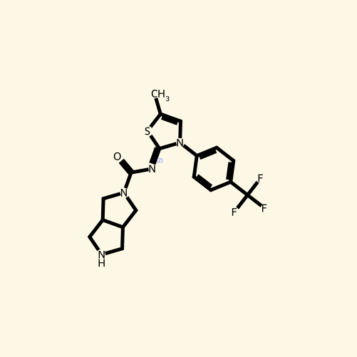 Cc1cn(-c2ccc(C(F)(F)F)cc2)/c(=N/C(=O)N2CC3CNCC3C2)s1